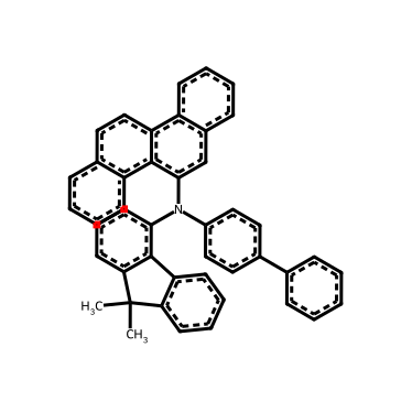 CC1(C)c2ccccc2-c2c(N(c3ccc(-c4ccccc4)cc3)c3cc4ccccc4c4ccc5ccccc5c34)cccc21